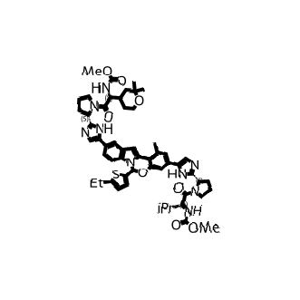 CCc1ccc(C2Oc3cc(-c4cnc([C@@H]5CCCN5C(=O)[C@@H](NC(=O)OC)C(C)C)[nH]4)cc(C)c3-c3cc4cc(-c5cnc([C@@H]6CCCN6C(=O)[C@@H](NC(=O)OC)C6CCOC(C)(C)C6)[nH]5)ccc4n32)s1